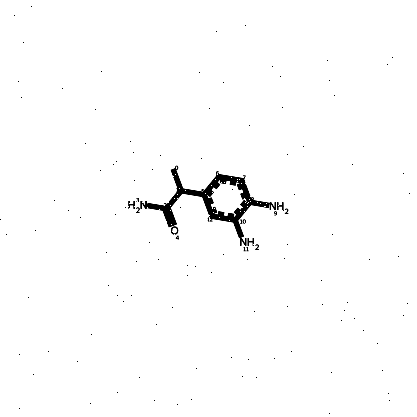 CC(C(N)=O)c1ccc(N)c(N)c1